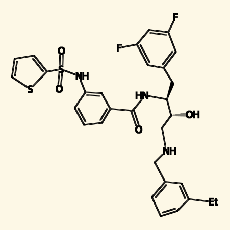 CCc1cccc(CNC[C@@H](O)[C@H](Cc2cc(F)cc(F)c2)NC(=O)c2cccc(NS(=O)(=O)c3cccs3)c2)c1